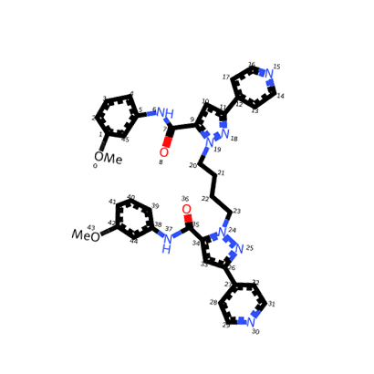 COc1cccc(NC(=O)c2cc(-c3ccncc3)nn2CCCCn2nc(-c3ccncc3)cc2C(=O)Nc2cccc(OC)c2)c1